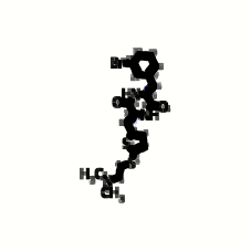 CN(C)CCSc1ccc(/C=c2\[nH]c(=O)/c(=C/c3cccc(Br)c3)[nH]c2=O)s1